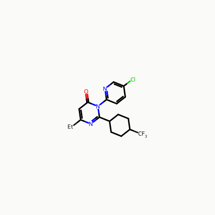 CCc1cc(=O)n(-c2ccc(Cl)cn2)c(C2CCC(C(F)(F)F)CC2)n1